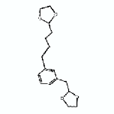 c1cc(CCCCC2OCCO2)cc(CC2OCCO2)c1